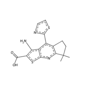 CC1(C)CCc2c1nc1sc(C(=O)O)c(N)c1c2-c1nccs1